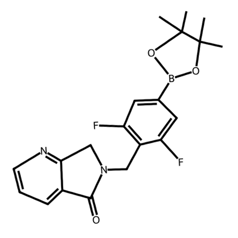 CC1(C)OB(c2cc(F)c(CN3Cc4ncccc4C3=O)c(F)c2)OC1(C)C